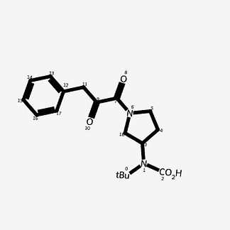 CC(C)(C)N(C(=O)O)C1CCN(C(=O)C(=O)Cc2ccccc2)C1